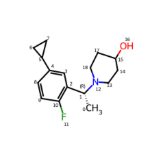 C[C@H](c1cc(C2CC2)ccc1F)N1CCC(O)CC1